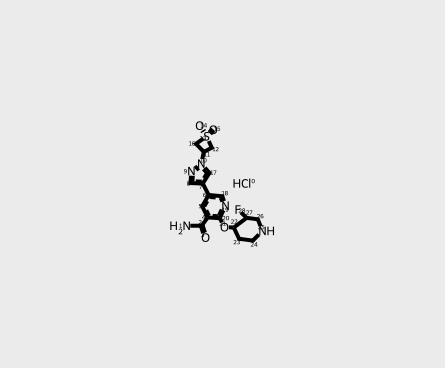 Cl.NC(=O)c1cc(-c2cnn(C3CS(=O)(=O)C3)c2)cnc1OC1CCNCC1F